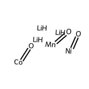 [LiH].[LiH].[LiH].[O]=[Co].[O]=[Mn].[O]=[Ni]